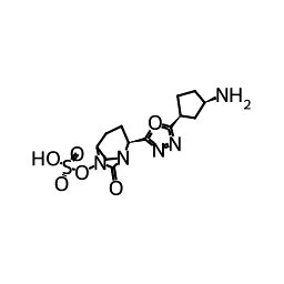 N[C@@H]1CC[C@H](c2nnc([C@@H]3CCC4CN3C(=O)N4OS(=O)(=O)O)o2)C1